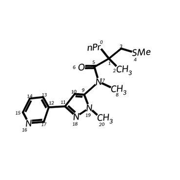 CCCC(C)(CSC)C(=O)N(C)c1cc(-c2cccnc2)nn1C